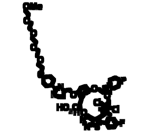 COCCOCCOCCOCCOCCO[C@H]1CC[C@@H](c2nccc(COc3ccc4cc3C[C@H](C(=O)O)Oc3ncnc5sc(-c6ccc(F)cc6)c(c35)-c3c(C)c(Cl)c(c(Cl)c3C)O[C@H](CN3CCN(C)CC3)CO4)n2)CC1